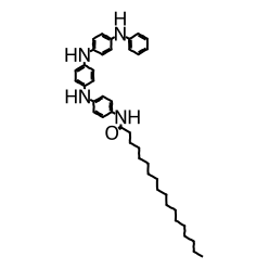 CCCCCCCCCCCCCCCCCC(=O)Nc1ccc(Nc2ccc(Nc3ccc(Nc4ccccc4)cc3)cc2)cc1